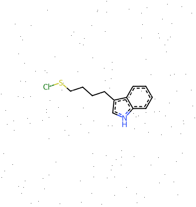 ClSCCCCc1c[nH]c2ccccc12